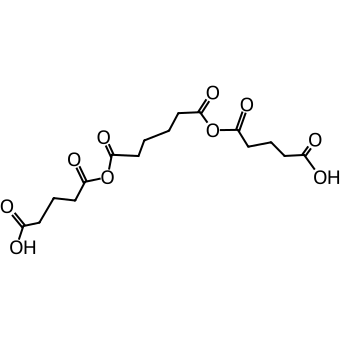 O=C(O)CCCC(=O)OC(=O)CCCCC(=O)OC(=O)CCCC(=O)O